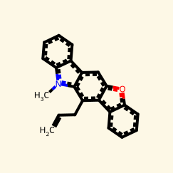 C=CCc1c2c(cc3c4ccccc4n(C)c13)oc1ccccc12